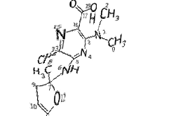 CN(C)c1nc(NC2(C)CC=CO2)c(Cl)nc1C(=O)O